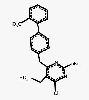 CCCCc1nc(Cl)c(CC(=O)O)c(Cc2ccc(-c3ccccc3C(=O)O)cc2)n1